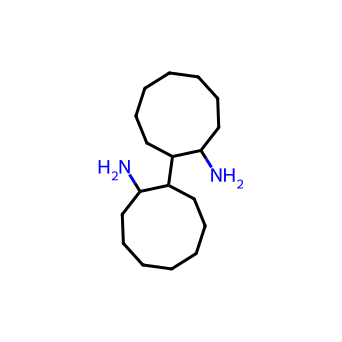 NC1CCCCCCCC1C1CCCCCCCC1N